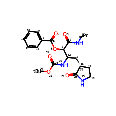 CC(C)NC(=O)C(OC(=O)c1ccccc1)C(C[C@@H]1CCNC1=O)NC(=O)OC(C)(C)C